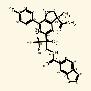 C[C@]1(C(N)=O)COc2c1cc(C(O)(CNC(=O)c1ccc3ccsc3c1)C(F)(F)F)nc2-c1ccc(F)cc1